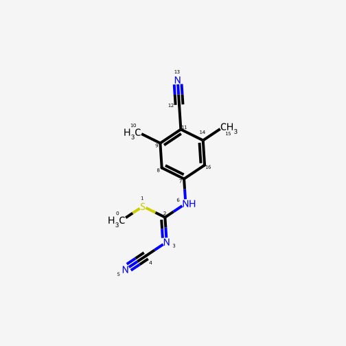 CS/C(=N\C#N)Nc1cc(C)c(C#N)c(C)c1